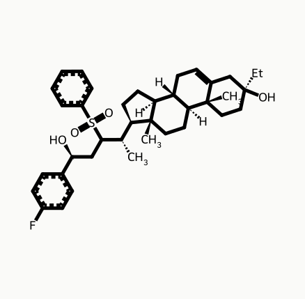 CC[C@]1(O)CC[C@@]2(C)C(=CC[C@H]3[C@@H]4CC[C@H]([C@H](C)C(C[C@H](O)c5ccc(F)cc5)S(=O)(=O)c5ccccc5)[C@@]4(C)CC[C@@H]32)C1